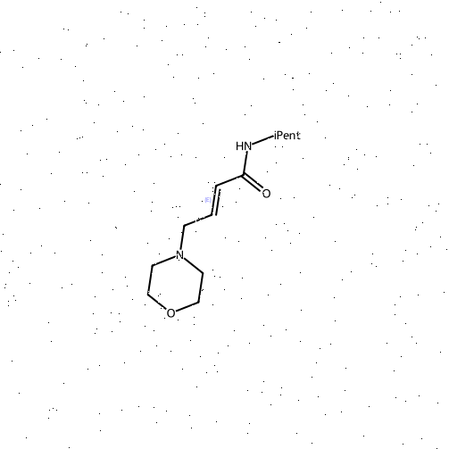 CCCC(C)NC(=O)/C=C/CN1CCOCC1